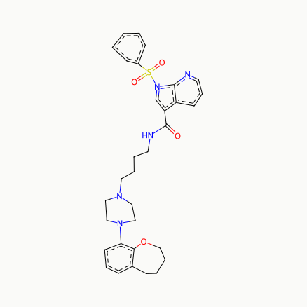 O=C(NCCCCN1CCN(c2cccc3c2OCCCC3)CC1)c1cn(S(=O)(=O)c2ccccc2)c2ncccc12